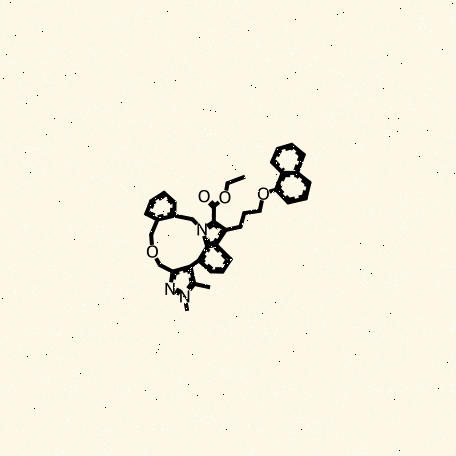 CCOC(=O)c1c(CCCOc2cccc3ccccc23)c2cccc3c2n1Cc1ccccc1COCc1nn(C)c(C)c1-3